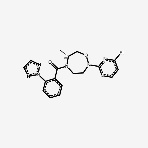 CCc1ccnc(N2CCN(C(=O)c3ccccc3-n3nccn3)[C@H](C)CO2)n1